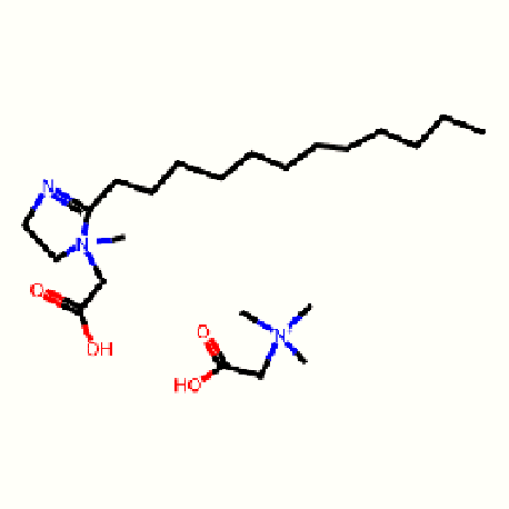 CCCCCCCCCCCCC1=NCC[N+]1(C)CC(=O)O.C[N+](C)(C)CC(=O)O